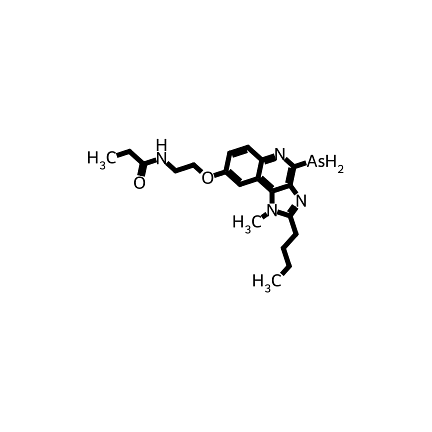 CCCCc1nc2c([AsH2])nc3ccc(OCCNC(=O)CC)cc3c2n1C